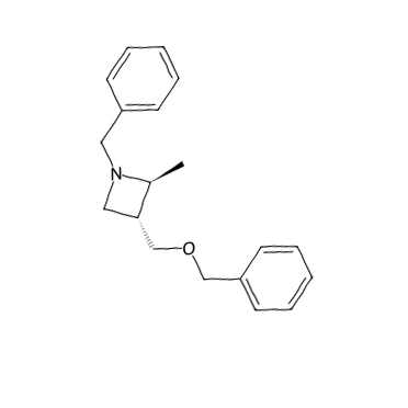 C[C@H]1[C@H](COCc2ccccc2)CN1Cc1ccccc1